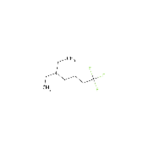 CC[C](CC)CCCC(F)(F)F